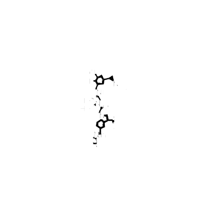 CC(=O)c1cn(CC(=O)N(CC(=O)NCc2cc(C3CC3N)cc(Cl)c2F)C(C)C)c2ccc(C(=O)N=[N+]=[N-])cc12